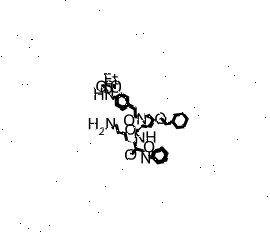 CCS(=O)(=O)Nc1ccc(CC(=O)N2C[C@H](OCC3CCCCC3)C[C@H]2C(=O)N[C@@H](CCCCN)C(=O)c2nc3ccccc3o2)cc1